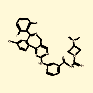 CN(C)C1CN(C(=N)NC(=O)c2cccc(Nc3ncc4c(n3)-c3ccc(Cl)cc3C(c3c(F)cccc3F)=NC4)c2)C1